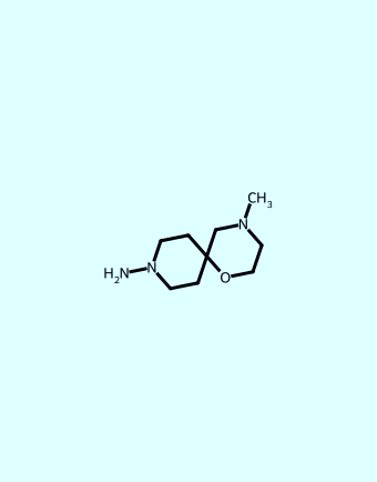 CN1CCOC2(CCN(N)CC2)C1